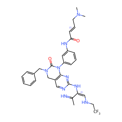 CC(=N)/C(=C\NCC(F)(F)F)Nc1ncc2c(n1)N(c1cccc(NC(=O)/C=C/CN(C)C)c1)C(=O)N(Cc1ccccc1)C2